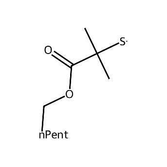 CCCCCCOC(=O)C(C)(C)[S]